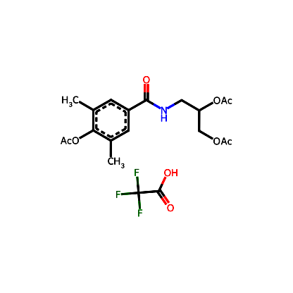 CC(=O)OCC(CNC(=O)c1cc(C)c(OC(C)=O)c(C)c1)OC(C)=O.O=C(O)C(F)(F)F